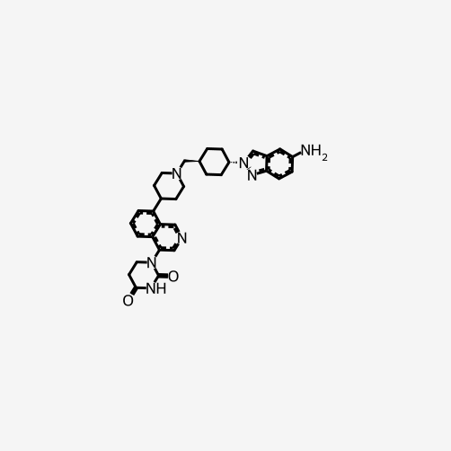 Nc1ccc2nn([C@H]3CC[C@H](CN4CCC(c5cccc6c(N7CCC(=O)NC7=O)cncc56)CC4)CC3)cc2c1